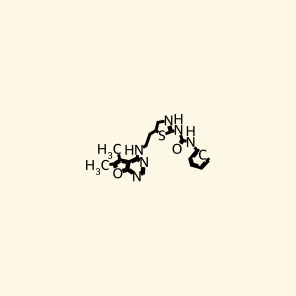 Cc1oc2ncnc(NCCC3CN=C(NC(=O)Nc4ccccc4)S3)c2c1C